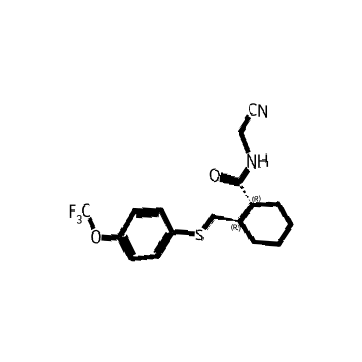 N#CCNC(=O)[C@@H]1CCCC[C@H]1CSc1ccc(OC(F)(F)F)cc1